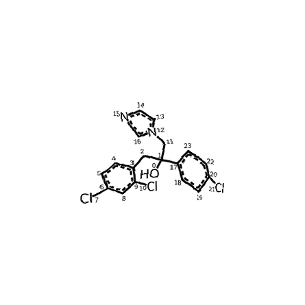 OC(Cc1ccc(Cl)cc1Cl)(Cn1ccnc1)c1ccc(Cl)cc1